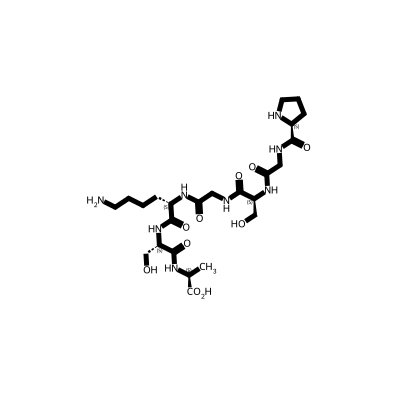 C[C@H](NC(=O)[C@H](CO)NC(=O)[C@H](CCCCN)NC(=O)CNC(=O)[C@H](CO)NC(=O)CNC(=O)[C@@H]1CCCN1)C(=O)O